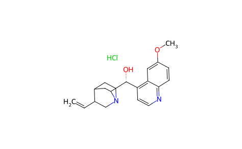 C=CC1CN2CCC1CC2[C@H](O)c1ccnc2ccc(OC)cc12.Cl